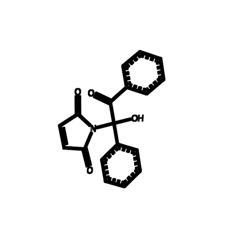 O=C1C=CC(=O)N1C(O)(C(=O)c1ccccc1)c1ccccc1